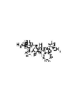 Cc1nocc1C(=O)NC(c1nc2c(F)c(C3CCCN3C(=O)OC(C)(C)C)ccc2[nH]1)C1CCCCCCC1